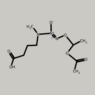 CC(=O)OC(C)O/N=[N+](\[O-])N(C)CCCC(=O)O